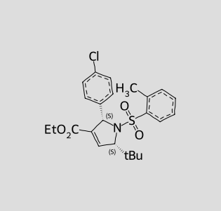 CCOC(=O)C1=C[C@@H](C(C)(C)C)N(S(=O)(=O)c2ccccc2C)[C@H]1c1ccc(Cl)cc1